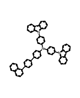 c1ccc2c(-c3ccc(-c4ccc(N(c5ccc(-n6c7ccccc7c7ccccc76)cc5)c5ccc(-n6c7ccccc7c7ccccc76)cc5)cc4)cc3)cccc2c1